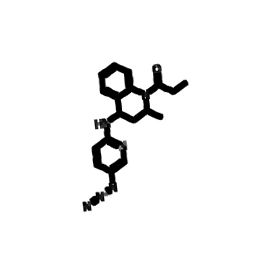 CCC(=O)N1c2ccccc2C(Nc2ccc(N=[N+]=[N-])cn2)CC1C